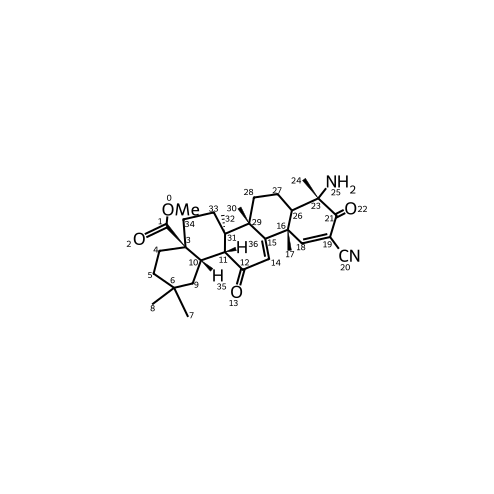 COC(=O)[C@]12CCC(C)(C)C[C@H]1[C@H]1C(=O)C=C3[C@@]4(C)C=C(C#N)C(=O)[C@@](C)(N)C4CC[C@@]3(C)[C@]1(C)CC2